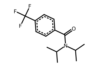 CC(C)N(C(=O)c1ccc(C(F)(F)F)cc1)C(C)C